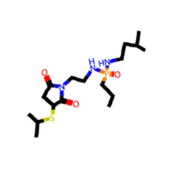 CCCP(=O)(NCCC(C)C)NCCN1C(=O)CC(SC(C)C)C1=O